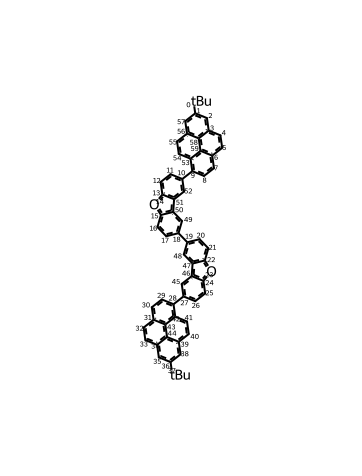 CC(C)(C)c1cc2ccc3ccc(-c4ccc5oc6ccc(-c7ccc8oc9ccc(-c%10ccc%11ccc%12cc(C(C)(C)C)cc%13ccc%10c%11c%12%13)cc9c8c7)cc6c5c4)c4ccc(c1)c2c34